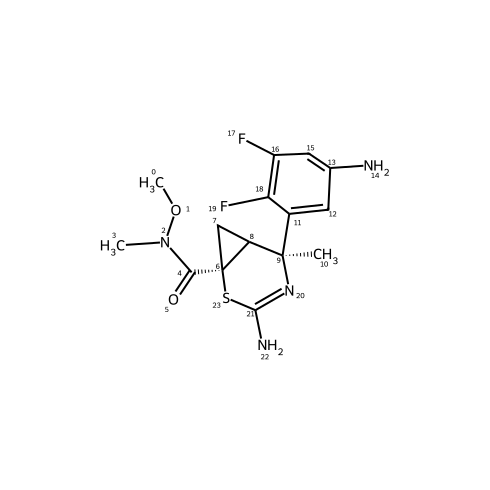 CON(C)C(=O)[C@]12CC1[C@@](C)(c1cc(N)cc(F)c1F)N=C(N)S2